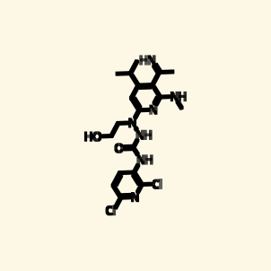 CNc1nc(N(CCO)NC(=O)Nc2ccc(Cl)nc2Cl)cc(C(C)C)c1C(C)=N